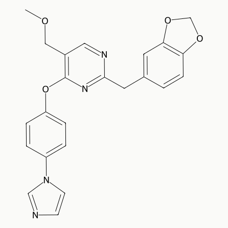 COCc1cnc(Cc2ccc3c(c2)OCO3)nc1Oc1ccc(-n2ccnc2)cc1